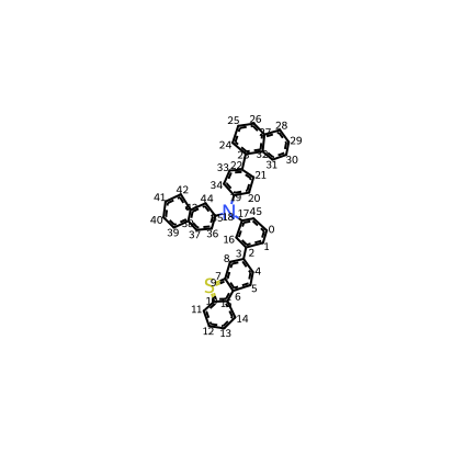 c1cc(-c2ccc3c(c2)sc2ccccc23)cc(N(c2ccc(-c3cccc4ccccc34)cc2)c2ccc3ccccc3c2)c1